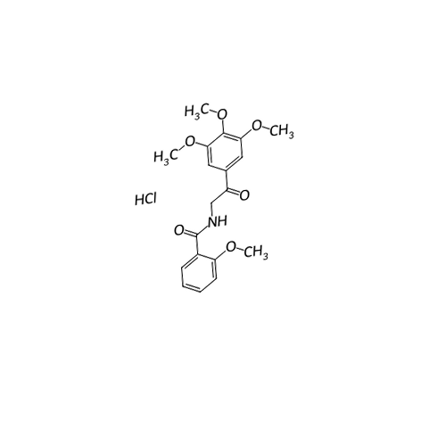 COc1ccccc1C(=O)NCC(=O)c1cc(OC)c(OC)c(OC)c1.Cl